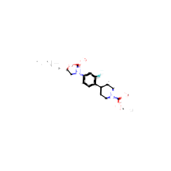 CC(=O)NC[C@H]1CN(c2ccc(C3CCN(C(=O)OC(C)(C)C)CC3)c(F)c2)C(=O)O1